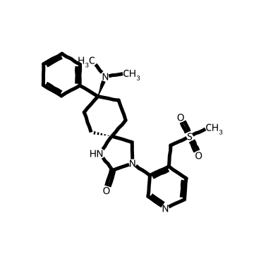 CN(C)[C@]1(c2ccccc2)CC[C@]2(CC1)CN(c1cnccc1CS(C)(=O)=O)C(=O)N2